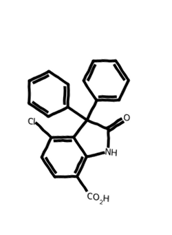 O=C(O)c1ccc(Cl)c2c1NC(=O)C2(c1ccccc1)c1ccccc1